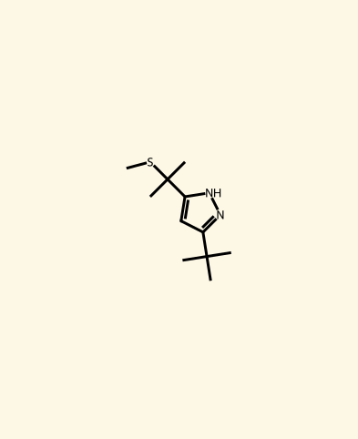 CSC(C)(C)c1cc(C(C)(C)C)n[nH]1